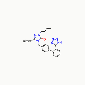 C=CCCn1nc(CCCCC)n(Cc2ccc(-c3ccccc3-c3nnn[nH]3)cc2)c1=O